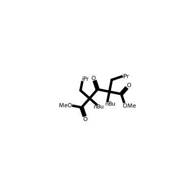 CCCCC(CC(C)C)(C(=O)OC)C(=O)C(CCCC)(CC(C)C)C(=O)OC